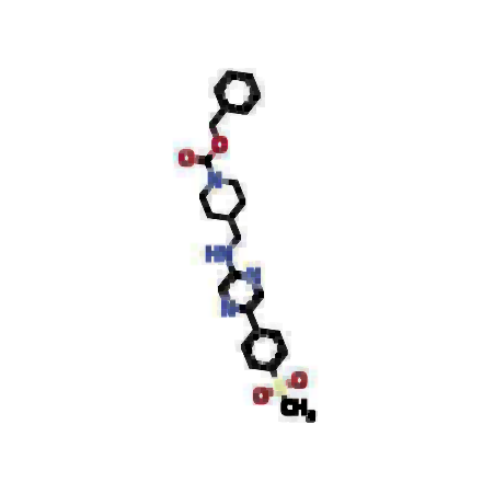 CS(=O)(=O)c1ccc(-c2cnc(NCC3CCN(C(=O)OCc4ccccc4)CC3)cn2)cc1